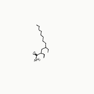 CCCCCCCCC(CC)CC(CC)C(N)=O